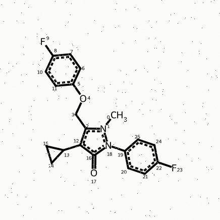 Cn1c(COc2ccc(F)cc2)c(C2CC2)c(=O)n1-c1ccc(F)cc1